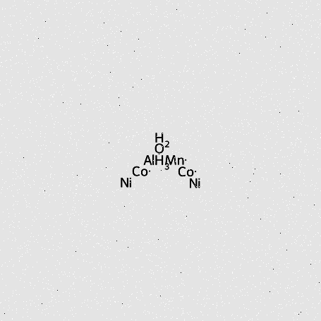 O.[AlH3].[Co].[Co].[Mn].[Ni].[Ni]